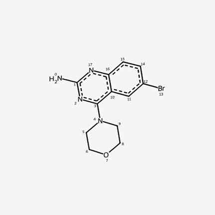 Nc1nc(N2CCOCC2)c2cc(Br)ccc2n1